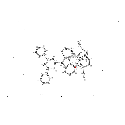 N#Cc1cccc(C#N)c1-c1cccc2c1c1c(-c3c(C#N)cccc3C#N)cccc1n2-c1nc(-c2ccccc2)nc(-c2ccccc2)n1